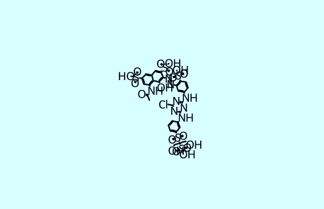 CC(=O)Nc1cc(S(=O)(=O)O)cc2cc(S(=O)(=O)O)c(N=Nc3cc(Nc4nc(Cl)nc(Nc5cccc(S(=O)(=O)C(CO)(CO)S(=O)(=O)O)c5)n4)ccc3S(=O)(=O)O)c(O)c12